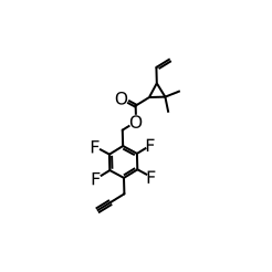 C#CCc1c(F)c(F)c(COC(=O)C2C(C=C)C2(C)C)c(F)c1F